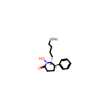 CCCCCCCCCCCCCC[C@@H]1[C@@H](c2ccccc2)CCC(=O)N1O